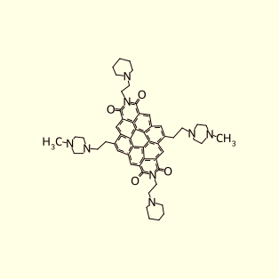 CN1CCN(CCc2cc3cc4c(=O)n(CCN5CCCCC5)c(=O)c5cc6c(CCN7CCN(C)CC7)cc7cc8c(=O)n(CCN9CCCCC9)c(=O)c9cc2c2c3c(c45)c6c7c2c89)CC1